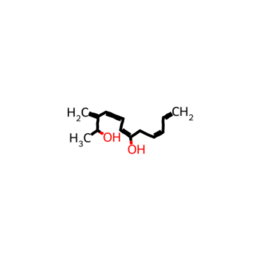 C=C/C=C\C/C(O)=C\C=C/C(=C)C(C)O